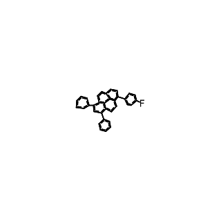 Fc1ccc(-c2ccc3ccc4c(-c5ccccc5)cc(-c5ccccc5)c5ccc2c3c45)cc1